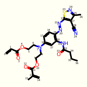 C=CC(=O)OCCN(CCOC(=O)C(=C)C)c1ccc(/N=N/c2snc(C)c2C#N)c(NC(=O)CCC)c1